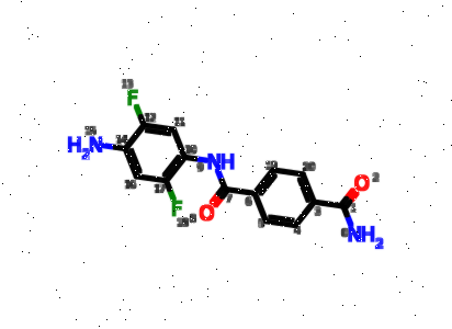 NC(=O)c1ccc(C(=O)Nc2cc(F)c(N)cc2F)cc1